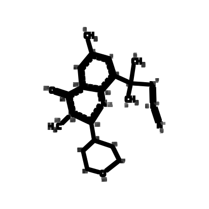 Cc1cc(C(C)(C)N=[N+]=[N-])c2nc(C3CCOCC3)n(C)c(=O)c2c1